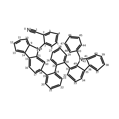 N#Cc1ccccc1-n1c2ccccc2c2ccc(-c3ccccc3-c3ccccc3-c3cccc4c5ccccc5n(-c5ccccc5)c34)cc21